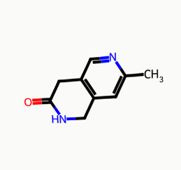 Cc1cc2c(cn1)CC(=O)NC2